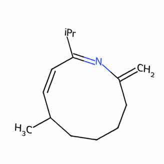 C=C1CCCCC(C)/C=C\C(C(C)C)=N/1